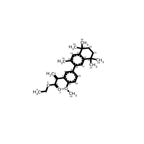 C=C(C(=O)OCC)c1cc(-c2cc3c(cc2C)C(C)(C)CCC3(C)C)ccc1OC